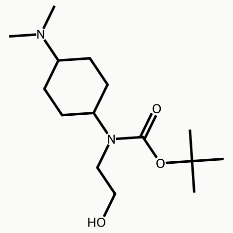 CN(C)C1CCC(N(CCO)C(=O)OC(C)(C)C)CC1